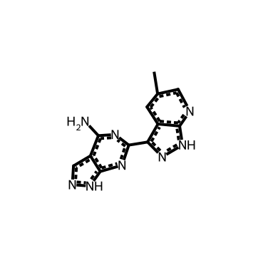 Cc1cnc2[nH]nc(-c3nc(N)c4cn[nH]c4n3)c2c1